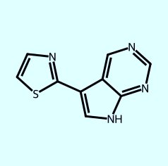 c1csc(-c2c[nH]c3ncncc23)n1